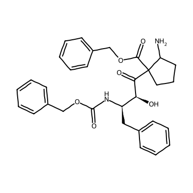 NC1CCCC1(C(=O)OCc1ccccc1)C(=O)[C@@H](O)[C@@H](Cc1ccccc1)NC(=O)OCc1ccccc1